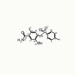 Cc1ccc(S(=O)(=O)Sc2cc(C)c(C(N)=O)cc2C(C)(C)C)cc1